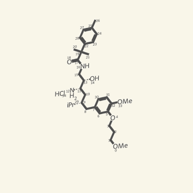 COCCCOc1cc(C[C@@H](C[C@H](N)[C@@H](O)CNC(=O)C(C)(C)c2ccc(C)cc2)C(C)C)ccc1OC.Cl